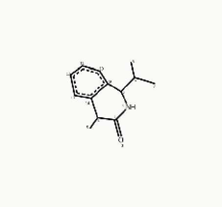 CC1C(=O)NC(C(C)C)c2ccccc21